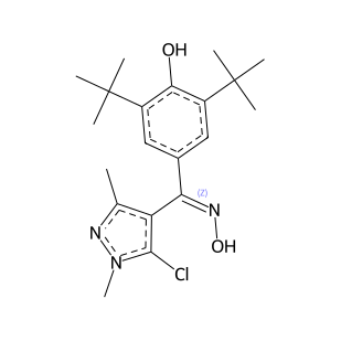 Cc1nn(C)c(Cl)c1/C(=N\O)c1cc(C(C)(C)C)c(O)c(C(C)(C)C)c1